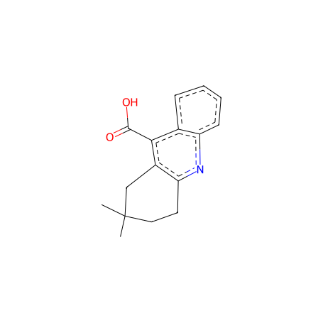 CC1(C)CCc2nc3ccccc3c(C(=O)O)c2C1